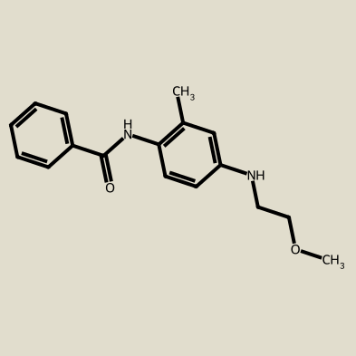 COCCNc1ccc(NC(=O)c2ccccc2)c(C)c1